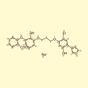 CCCc1c(OCCCOc2cc(O)c(-c3ccoc3)cc2CC)cccc1Oc1ccccc1C(=O)[O-].[Na+]